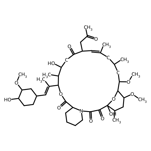 COC1CC(/C=C(\C)C2OC(=O)C3CCCCN3C(=O)C(=O)C3(O)OC(C(OC)CC(C)C/C(C)=C\C(CC(C)=O)C(=O)CC(O)C2C)C(OC)CC3C)CCC1O